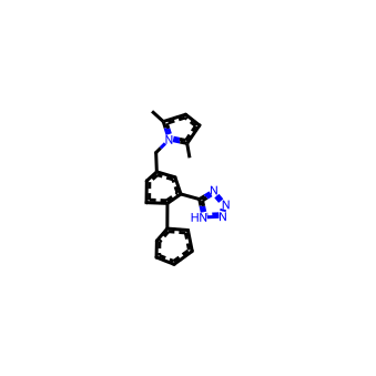 Cc1ccc(C)n1Cc1ccc(-c2ccccc2)c(-c2nnn[nH]2)c1